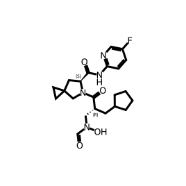 O=CN(O)C[C@@H](CC1CCCC1)C(=O)N1CC2(CC2)C[C@H]1C(=O)Nc1ccc(F)cn1